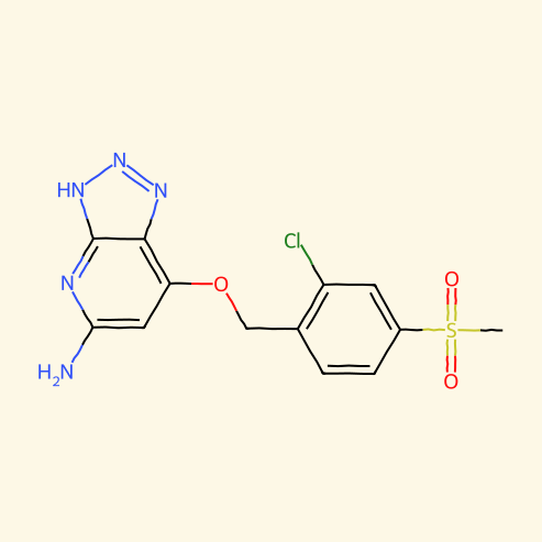 CS(=O)(=O)c1ccc(COc2cc(N)nc3[nH]nnc23)c(Cl)c1